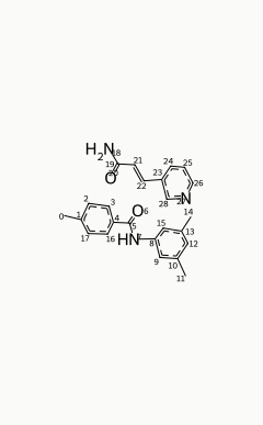 Cc1ccc(C(=O)Nc2cc(C)cc(C)c2)cc1.NC(=O)C=Cc1cccnc1